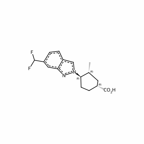 C[C@@H]1C[C@H](C(=O)O)CC[C@H]1n1cc2ccc(C(F)F)cc2n1